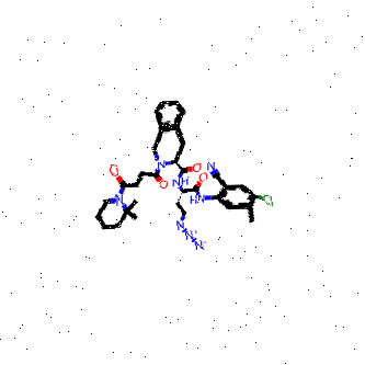 Cc1cc(NC(=O)[C@H](CCN=[N+]=[N-])NC(=O)[C@@H]2Cc3ccccc3CN2C(=O)CCC(=O)N2CCCCC2(C)C)c(C#N)cc1Cl